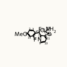 COc1ccc(C(F)c2ncccc2S(N)(=O)=O)c(F)c1